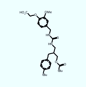 COc1cc(CNC(=S)NCC(COC(=O)C(C)(C)C)Cc2ccc(C(C)(C)C)cc2)ccc1OCC(=O)O